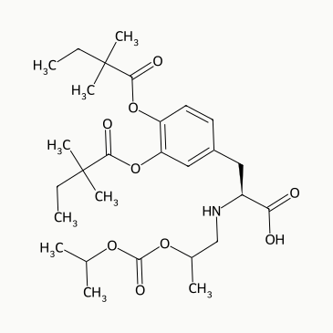 CCC(C)(C)C(=O)Oc1ccc(C[C@H](NCC(C)OC(=O)OC(C)C)C(=O)O)cc1OC(=O)C(C)(C)CC